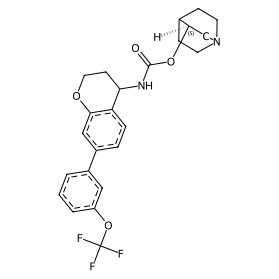 O=C(NC1CCOc2cc(-c3cccc(OC(F)(F)F)c3)ccc21)O[C@@H]1CN2CCC1CC2